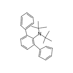 CC(C)(C)N(c1c(-c2ccccc2)cccc1-c1ccccc1)C(C)(C)C